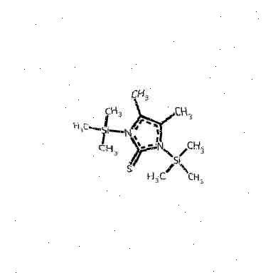 Cc1c(C)n([Si](C)(C)C)c(=S)n1[Si](C)(C)C